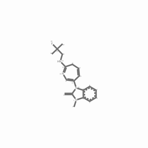 C=C1N(C)c2ccccc2N1C1=CN=C(NCC(C)(C)F)CC=C1